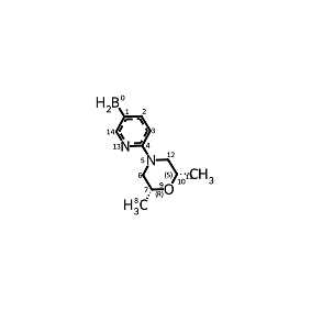 Bc1ccc(N2C[C@@H](C)O[C@@H](C)C2)nc1